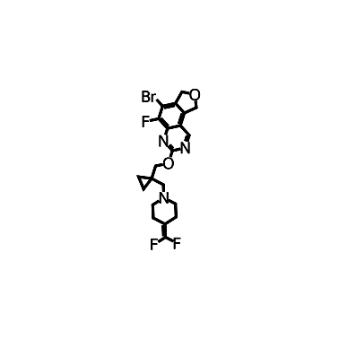 FC(F)=C1CCN(CC2(COc3ncc4c5c(c(Br)c(F)c4n3)COC5)CC2)CC1